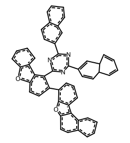 C1=CC2C=CC(c3nc(-c4ccc5ccccc5c4)nc(-c4c(-c5cccc6c5oc5ccc7ccccc7c56)ccc5oc6ccccc6c45)n3)=CC2C=C1